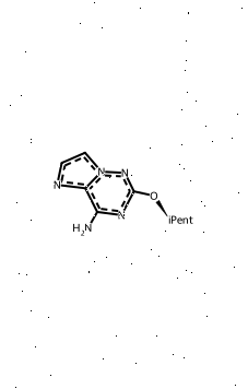 CCC[C@H](C)Oc1nc(N)c2nccn2n1